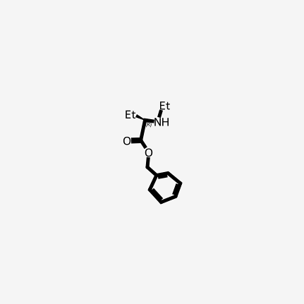 CCN[C@H](CC)C(=O)OCc1ccccc1